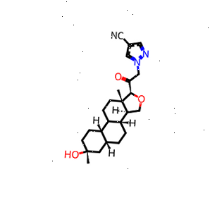 C[C@@]1(O)CC[C@@H]2C3CC[C@]4(C)[C@@H](C(=O)Cn5cc(C#N)cn5)OC[C@H]4[C@@H]3CC[C@@H]2C1